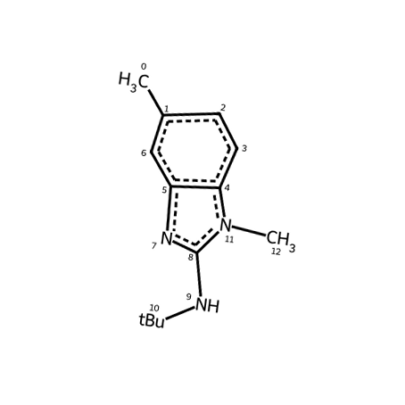 Cc1ccc2c(c1)nc(NC(C)(C)C)n2C